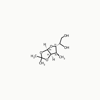 C[C@H]1[C@H]2OC(C)(C)O[C@H]2O[C@@H]1C(O)CO